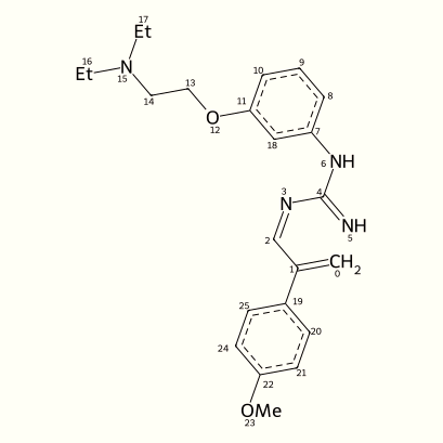 C=C(/C=N\C(=N)Nc1cccc(OCCN(CC)CC)c1)c1ccc(OC)cc1